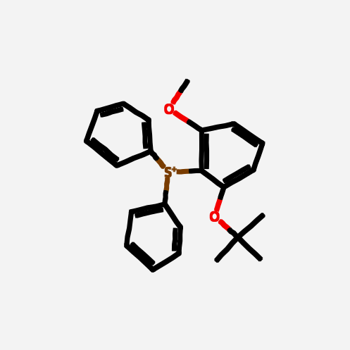 COc1cccc(OC(C)(C)C)c1[S+](c1ccccc1)c1ccccc1